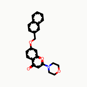 O=c1cc(N2CCOCC2)oc2cc(OCc3ccc4ccccc4c3)ccc12